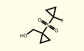 O=S(=O)(C1(F)CC1)C1(CO)CC1